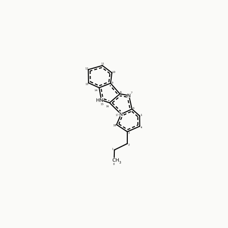 CCCc1ccc2nc3c4ccccc4[nH]c3n2c1